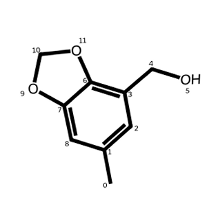 Cc1cc(CO)c2c(c1)OCO2